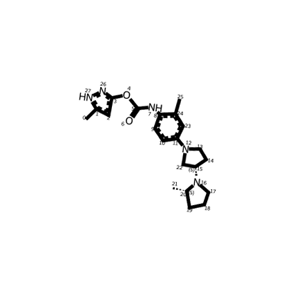 Cc1cc(OC(=O)Nc2ccc(N3CC[C@H](N4CCC[C@@H]4C)C3)cc2C)n[nH]1